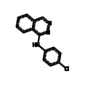 Clc1ccc(Nc2nncc3ccccc23)cc1